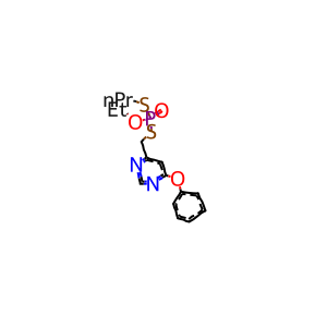 CCCSP(=O)(OCC)SCc1cc(Oc2ccccc2)ncn1